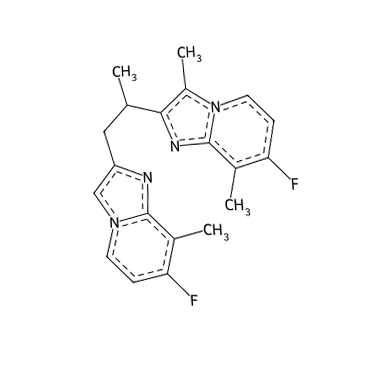 Cc1c(F)ccn2cc(CC(C)c3nc4c(C)c(F)ccn4c3C)nc12